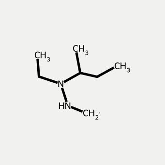 [CH2]NN(CC)C(C)CC